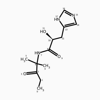 CCC(=O)C(C)(C)NC(=O)[C@@H](O)Cc1cnc[nH]1